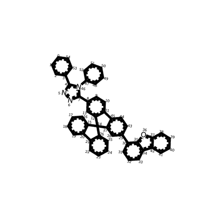 c1ccc(-c2nnc(-c3ccc4c(c3)C3(c5ccccc5-c5ccccc53)c3cc(-c5cccc6c5oc5ccccc56)ccc3-4)n2-c2ccccc2)cc1